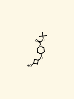 CC(C)(C)OC(=O)N1CCC(OC2CC(O)C2)CC1